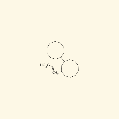 C1CCCCC(C2CCCCCCCCC2)CCCC1.C=CC(=O)O